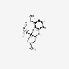 COCC(Oc1cc(CN)ccn1)C(F)(F)F.[Cl][Co][Cl]